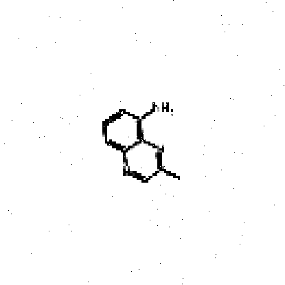 Cc1cnc2cccc(N)c2n1